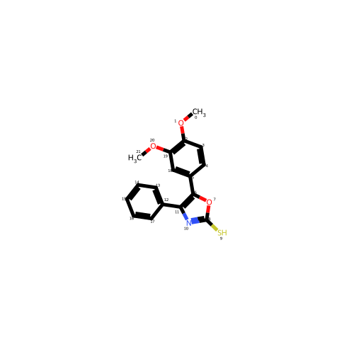 COc1ccc(-c2oc(S)nc2-c2ccccc2)cc1OC